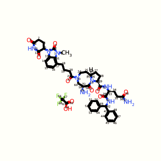 Cn1c(=O)n(C2CCC(=O)NC2=O)c2cccc(CCCC(=O)N3CC[C@H]4CC[C@@H](C(=O)N[C@@H](CCC(N)=O)C(=O)NC(c5ccccc5)c5ccccc5)N4C(=O)[C@@H](N)C3)c21.O=C(O)C(F)(F)F